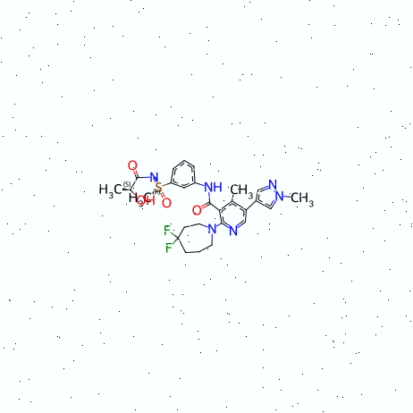 Cc1c(-c2cnn(C)c2)cnc(N2CCCC(F)(F)CC2)c1C(=O)Nc1cccc([S@@](C)(=O)=NC(=O)[C@H](C)O)c1